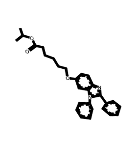 CC(C)OC(=O)CCCCCOc1ccc2nc(-c3ccccc3)n(-c3ccccc3)c2c1